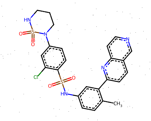 Cc1ccc(NS(=O)(=O)c2ccc(N3CCCNS3(=O)=O)cc2Cl)cc1-c1ccc2cnccc2n1